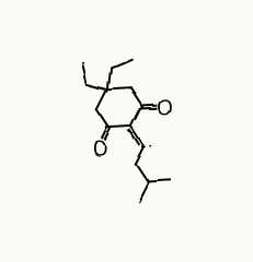 CCC1(CC)CC(=O)C(=[C]CC(C)C)C(=O)C1